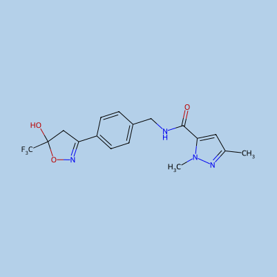 Cc1cc(C(=O)NCc2ccc(C3=NOC(O)(C(F)(F)F)C3)cc2)n(C)n1